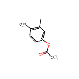 Cc1cc(OC(=O)C(Cl)(Cl)Cl)ccc1[N+](=O)[O-]